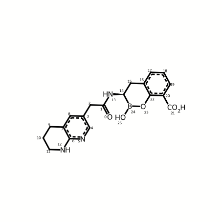 O=C(Cc1cnc2c(c1)CCCN2)N[C@H]1Cc2cccc(C(=O)O)c2OB1O